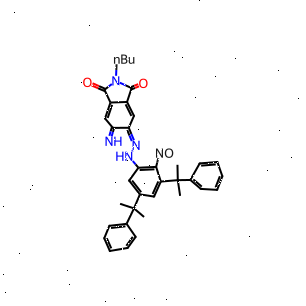 CCCCn1c(=O)c2cc(=N)/c(=N\Nc3cc(C(C)(C)c4ccccc4)cc(C(C)(C)c4ccccc4)c3N=O)cc-2c1=O